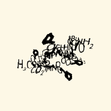 C[C@@H](OCc1ccccc1)[C@H](NC(=O)[C@H](CCCCNC(=O)OCc1ccccc1)NC(=O)CNC(=O)[C@@H](NC(=O)CNC(=O)[C@@H](NC(=O)[C@H](CCC(N)=O)NC(=O)OC(C)(C)C)[C@@H](C)OCc1ccccc1)[C@@H](C)OCc1ccccc1)C(=O)O